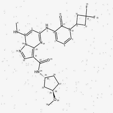 CNc1cc(Nc2cccn(C3CC(F)(F)C3)c2=O)nc2c(C(=O)N[C@@H]3CC[C@@H](OC)C3)cnn12